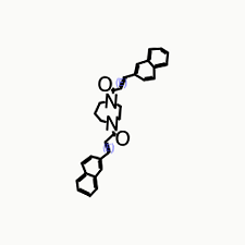 O=C(/C=C/c1ccc2ccccc2c1)N1CCCN(C(=O)/C=C/c2ccc3ccccc3c2)CC1